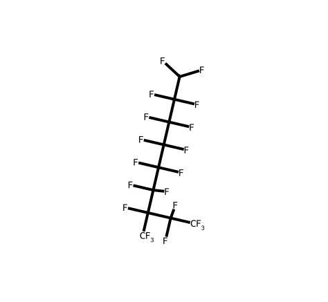 F[C](F)C(F)(F)C(F)(F)C(F)(F)C(F)(F)C(F)(F)C(F)(C(F)(F)F)C(F)(F)C(F)(F)F